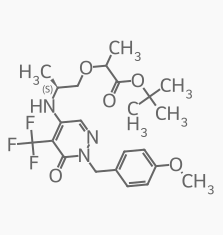 COc1ccc(Cn2ncc(N[C@@H](C)COC(C)C(=O)OC(C)(C)C)c(C(F)(F)F)c2=O)cc1